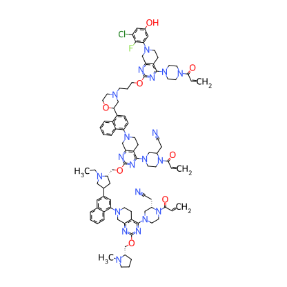 C=CC(=O)N1CCN(c2nc(OCCCN3CCOC(c4ccc(N5CCc6c(nc(OC[C@@H]7CC(c8cc(N9CCc%10c(nc(OC[C@@H]%11CCCN%11C)nc%10N%10CCN(C(=O)C=C)[C@@H](CC#N)C%10)C9)c9ccccc9c8)CN7CC)nc6N6CCN(C(=O)C=C)C(CC#N)C6)C5)c5ccccc45)C3)nc3c2CCN(c2cc(O)cc(Cl)c2F)C3)CC1